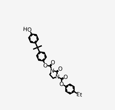 CCc1ccc(OC(=O)N2CCN(C(=O)Oc3ccc(C(C)(C)c4ccc(O)cc4)cc3)C2=O)cc1